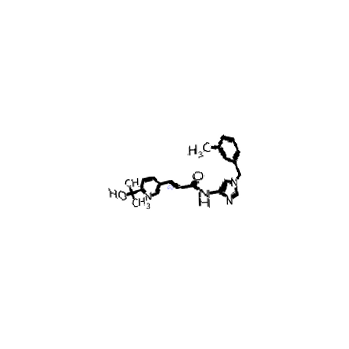 Cc1cccc(Cn2cnc(NC(=O)/C=C/c3ccc(C(C)(C)O)nc3)c2)c1